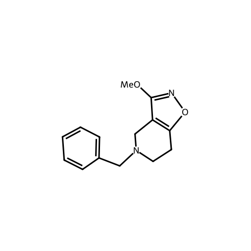 COc1noc2c1CN(Cc1ccccc1)CC2